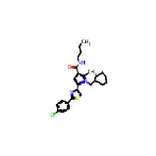 CCCCNC(=O)c1cc(-c2csc(-c3ccc(Cl)cc3)n2)n(CC2CCCCC2)c1C